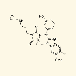 COc1cc2c3c([nH]c2cc1F)[C@@H](C1=CCCC(O)=C1)N1C(=O)N(CCCNC2CC2)C(=O)[C@]1(C)C3